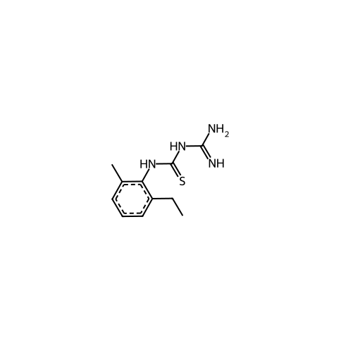 CCc1cccc(C)c1NC(=S)NC(=N)N